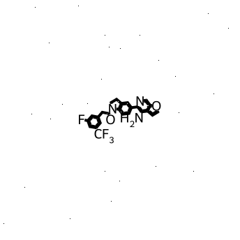 Nc1c(-c2ccc3c(c2)CCN3C(=O)Cc2cc(F)cc(C(F)(F)F)c2)ncc2occc12